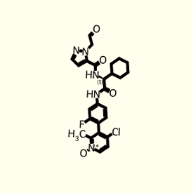 Cc1c(-c2ccc(NC(=O)[C@@H](NC(=O)c3ccnn3CC=O)C3CCCCC3)cc2F)c(Cl)cc[n+]1[O-]